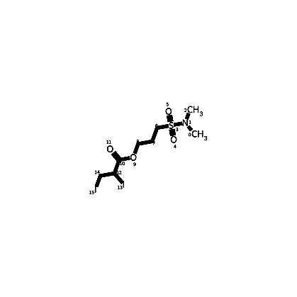 CN(C)S(=O)(=O)CCCOC(=O)C(I)CI